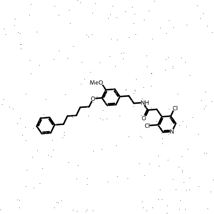 COc1cc(CCNC(=O)Cc2c(Cl)cncc2Cl)ccc1OCCCCCc1ccccc1